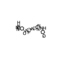 COc1ccc(Nc2ncc3c(n2)CN([C@@H]2CCN(C(=O)c4ccc5[nH]nnc5c4)[C@H](C)C2)C3)cc1